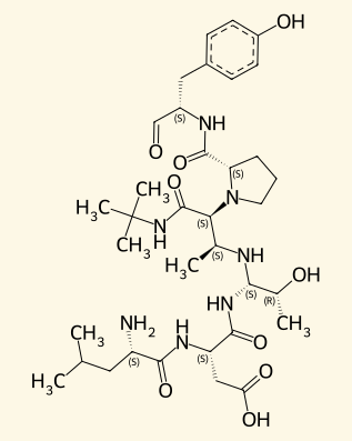 CC(C)C[C@H](N)C(=O)N[C@@H](CC(=O)O)C(=O)N[C@H](N[C@@H](C)[C@@H](C(=O)NC(C)(C)C)N1CCC[C@H]1C(=O)N[C@H](C=O)Cc1ccc(O)cc1)[C@@H](C)O